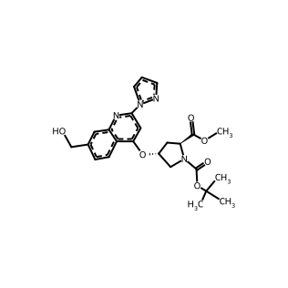 COC(=O)[C@@H]1C[C@@H](Oc2cc(-n3cccn3)nc3cc(CO)ccc23)CN1C(=O)OC(C)(C)C